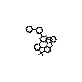 CC1(C)c2cccc(-c3nc(-c4ccccc4)nc(-c4cccc(-c5ccccc5)c4)n3)c2-c2c1ccc1c2-c2ccccc2C1